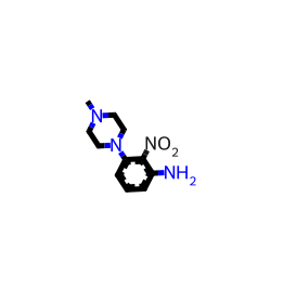 CN1CCN(c2cccc(N)c2[N+](=O)[O-])CC1